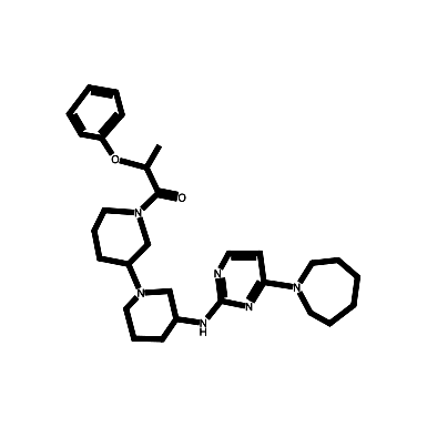 CC(Oc1ccccc1)C(=O)N1CCCC(N2CCCC(Nc3nccc(N4CCCCCC4)n3)C2)C1